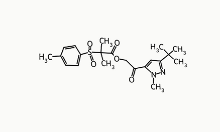 Cc1ccc(S(=O)(=O)C(C)(C)C(=O)OCC(=O)c2cc(C(C)(C)C)nn2C)cc1